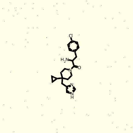 NC(Cc1ccc(Cl)cc1)C(=O)N1CCC(Cc2c[nH]cn2)(C2CC2)CC1